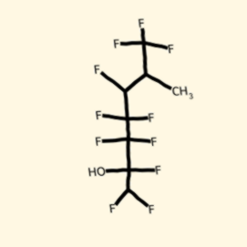 CC(C(F)C(F)(F)C(F)(F)C(O)(F)[C](F)F)C(F)(F)F